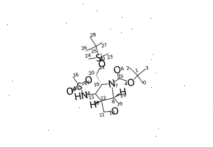 CC(C)(C)OC(=O)N1[C@@H]2COC[C@@H]2C(NS(C)(=O)=O)[C@@H]1CO[Si](C)(C)C(C)(C)C